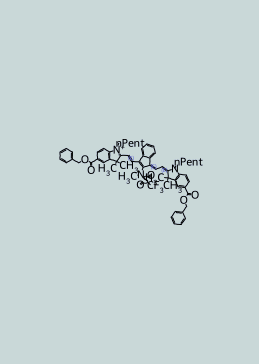 CCCCCN1/C(=C/C=C2C(N(C)S(=O)(=O)C(F)(F)F)=C(/C=C/C3=[N+](CCCCC)c4ccc(C(=O)OCc5ccccc5)cc4C3(C)C)c3ccccc3/2)C(C)(C)c2cc(C(=O)OCc3ccccc3)ccc21